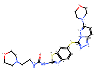 O=C(NCCN1CCOCC1)Nc1nc2ccc(Sc3nnc4ccc(N5CCOCC5)nn34)cc2s1